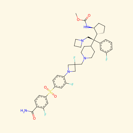 COC(=O)N[C@H]1CCC[C@@H]1[C@](CN1CCC1)(c1cccc(F)c1)C1CCN(CC2(F)CN(c3ccc(S(=O)(=O)c4ccc(C(N)=O)c(F)c4)cc3F)C2)CC1